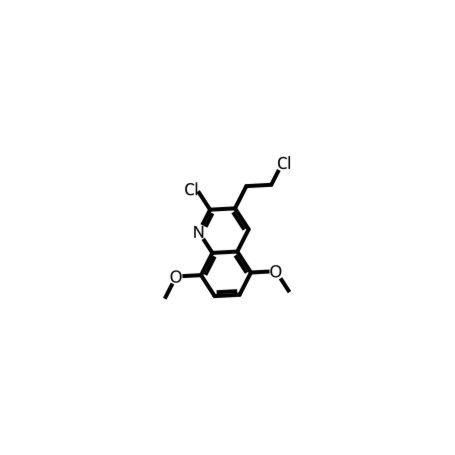 COc1ccc(OC)c2nc(Cl)c(CCCl)cc12